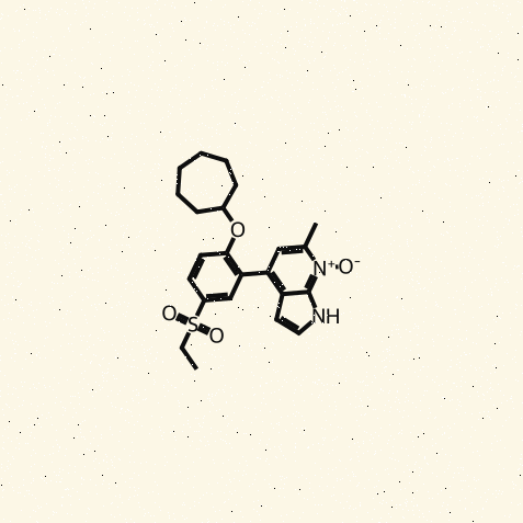 CCS(=O)(=O)c1ccc(OC2CCCCCC2)c(-c2cc(C)[n+]([O-])c3[nH]ccc23)c1